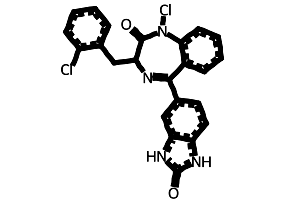 O=C1C(Cc2ccccc2Cl)N=C(c2ccc3[nH]c(=O)[nH]c3c2)c2ccccc2N1Cl